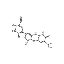 N#Cc1cn(-c2cc(Cl)c(Oc3cc(C4CCC4)c(=O)[nH]n3)c(Cl)c2)c(=O)[nH]c1=O